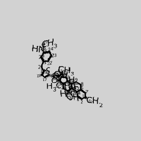 C=C1C=C[C@@]2(C)C(=C1)CC[C@H]1[C@@H]3C[C@H]4O[C@@H](c5ccc(Cc6cccc(NC)c6)s5)O[C@@]4(C(=O)CC)[C@@]3(C)C[C@H](O)[C@@]12F